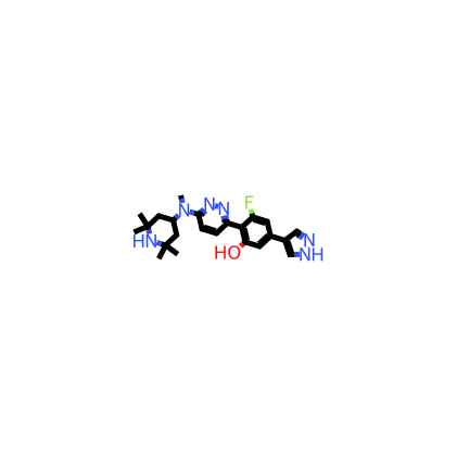 CN(c1ccc(-c2c(O)cc(-c3cn[nH]c3)cc2F)nn1)C1CC(C)(C)NC(C)(C)C1